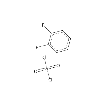 Fc1ccccc1F.O=S(=O)(Cl)Cl